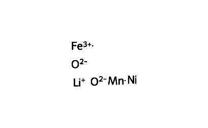 [Fe+3].[Li+].[Mn].[Ni].[O-2].[O-2]